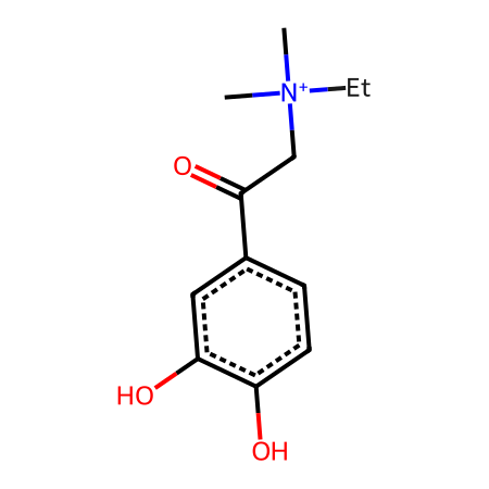 CC[N+](C)(C)CC(=O)c1ccc(O)c(O)c1